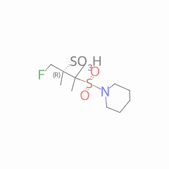 CC(C)([C@@](C)(CF)S(=O)(=O)O)S(=O)(=O)N1CCCCC1